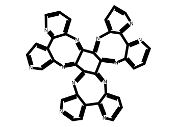 c1cnc2c(c1)nc1c(nc3cnccc32)c2nc3cnccc3c3ncccc3nc2c2nc3cccnc3c3ncccc3nc12